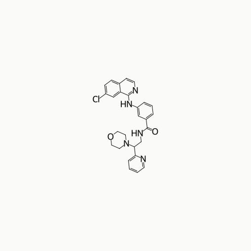 O=C(NCC(c1ccccn1)N1CCOCC1)c1cccc(Nc2nccc3ccc(Cl)cc23)c1